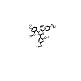 CCOc1ccc(-c2nc(-c3ccc(OCC)cc3O)nc(-c3ccc(OCC)cc3OCC)n2)c(O)c1